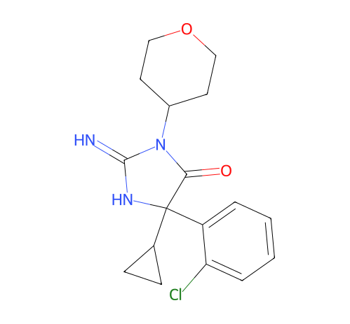 N=C1NC(c2ccccc2Cl)(C2CC2)C(=O)N1C1CCOCC1